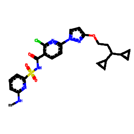 CCNc1cccc(S(=O)(=O)NC(=O)c2ccc(-n3ccc(OCCC(C4CC4)C4CC4)n3)nc2Cl)n1